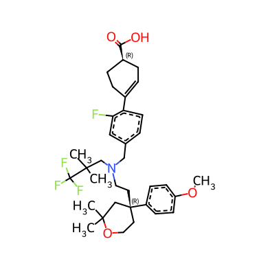 COc1ccc([C@]2(CCN(Cc3ccc(C4=CC[C@H](C(=O)O)CC4)c(F)c3)CC(C)(C)C(F)(F)F)CCOC(C)(C)C2)cc1